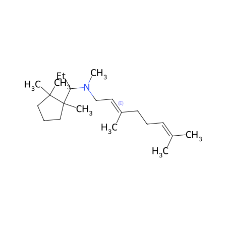 CCC(N(C)C/C=C(\C)CCC=C(C)C)C1(C)CCCC1(C)C